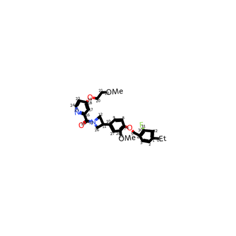 CCc1ccc(COc2ccc(C3CN(C(=O)c4cc(OCCOC)ccn4)C3)cc2OC)c(F)c1